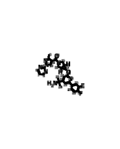 Cc1nn(-c2ncccn2)cc1C(=O)N1C[C@@H]2C(Oc3cc(C(C)(C)N)cc(-c4ccc(F)c(F)c4)n3)[C@@H]2C1